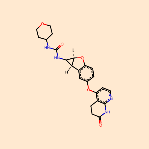 O=C1CCc2c(Oc3ccc4c(c3)[C@H]3C(NC(=O)NC5CCOCC5)[C@H]3O4)ccnc2N1